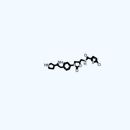 N=C(Cc1ccc(N2CC(CNC(=O)c3ccc(Cl)s3)OC2=O)cc1)C1CCNC1